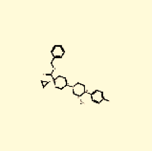 C[C@@H]1CN([C@@H]2CC[C@@](C(=O)OCc3ccccc3)(C3CC3)OC2)CC[C@H]1c1ccc(F)cc1